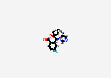 CCC1(CC)OC(=O)c2ccc(F)cc2C1n1ccnc1